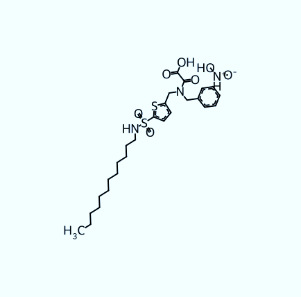 CCCCCCCCCCCCNS(=O)(=O)c1ccc(CN(Cc2cccc([NH+]([O-])O)c2)C(=O)C(=O)O)s1